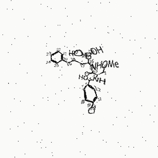 COC[C@@H](NC(O)c1ccc(Cl)cc1)C(=O)N[C@@H](CCCc1ccccc1)B(O)O